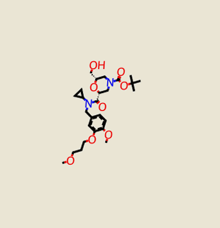 COCCCOc1cc(CN(C(=O)[C@H]2CN(C(=O)OC(C)(C)C)C[C@@H](CO)O2)C2CC2)ccc1OC